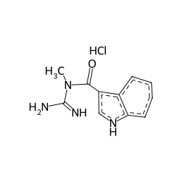 CN(C(=N)N)C(=O)c1c[nH]c2ccccc12.Cl